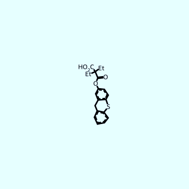 CCC(CC)(C(=O)O)C(=O)Oc1ccc2c(c1)Cc1ccccc1S2